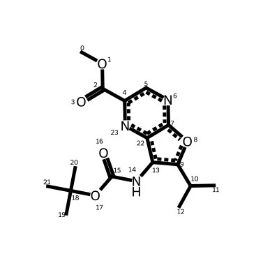 COC(=O)c1cnc2oc(C(C)C)c(NC(=O)OC(C)(C)C)c2n1